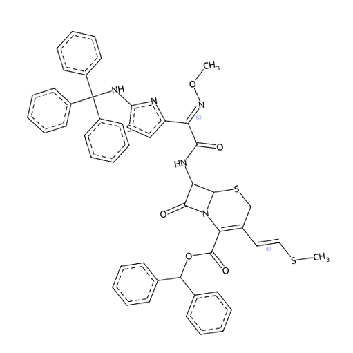 CO/N=C(/C(=O)NC1C(=O)N2C(C(=O)OC(c3ccccc3)c3ccccc3)=C(/C=C/SC)CSC12)c1csc(NC(c2ccccc2)(c2ccccc2)c2ccccc2)n1